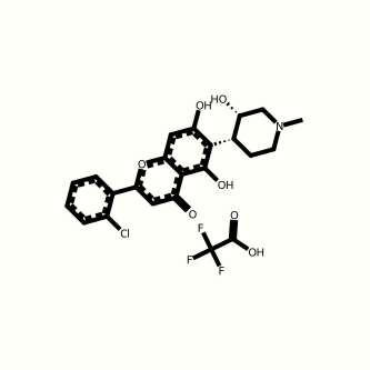 CN1CC[C@H](c2c(O)cc3oc(-c4ccccc4Cl)cc(=O)c3c2O)[C@H](O)C1.O=C(O)C(F)(F)F